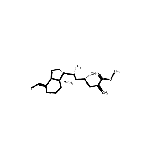 C=C(C[C@@H](O)C[C@@H](C)[C@H]1CCC2C(=CI)CCC[C@@]21C)C(=O)OC